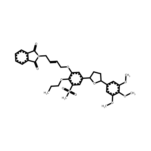 CCCOc1c(OCC=CCN2C(=O)c3ccccc3C2=O)cc(C2CCC(c3cc(OC)c(OC)c(OC)c3)O2)cc1S(C)(=O)=O